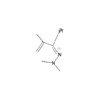 C=C(C)/C(=N\N(C)C)C(C)C